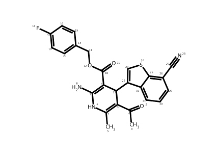 CC(=O)C1=C(C)NC(N)=C(C(=O)OCc2ccc(F)cc2)C1c1csc2c(C#N)cccc12